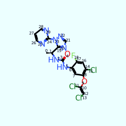 C[C@H](NC(=O)Nc1cc(O/C(Cl)=C/Cl)c(Cl)cc1F)c1ncnn1-c1ncccn1